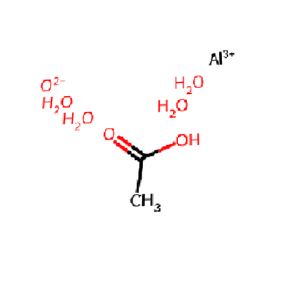 CC(=O)O.O.O.O.O.[Al+3].[O-2]